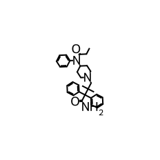 CCC(=O)N(c1ccccc1)C1CCN(CC(C)(C)C(C(N)=O)(c2ccccc2)c2ccccc2)CC1